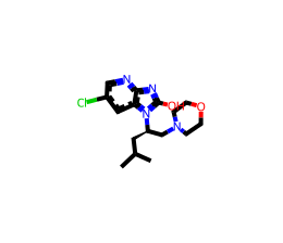 CC(C)C[C@H](CN1CCOCC1)n1c(O)nc2ncc(Cl)cc21